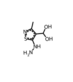 Cc1nsc(NN)c1C(O)O